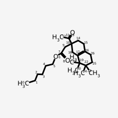 CCCCCCOC(=O)CC1(C(C)=O)CCC2=C(C1)C(C)(C)C(C)(C)CC2